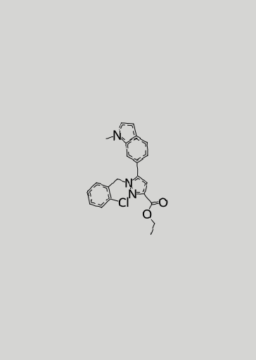 CCOC(=O)c1cc(-c2ccc3ccn(C)c3c2)n(Cc2ccccc2Cl)n1